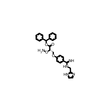 N=C(NCc1ncc[nH]1)c1ccc(OC[C@H](ON)C(=O)OC(c2ccccc2)c2ccccc2)cc1